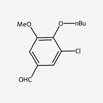 CCCCOc1c(Cl)cc(C=O)cc1OC